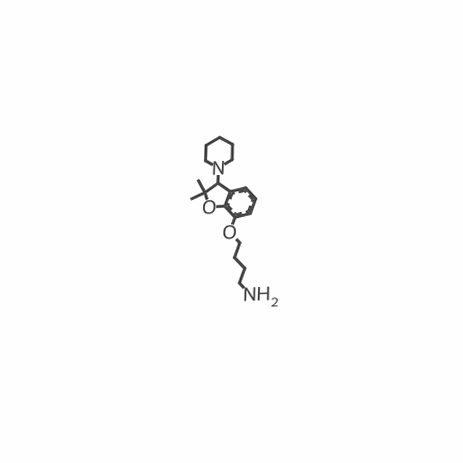 CC1(C)Oc2c(OCCCCN)cccc2C1N1CCCCC1